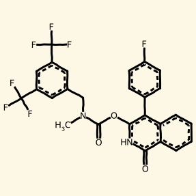 CN(Cc1cc(C(F)(F)F)cc(C(F)(F)F)c1)C(=O)Oc1[nH]c(=O)c2ccccc2c1-c1ccc(F)cc1